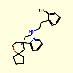 Cc1ccccc1CCNCC[C@@]1(c2ccccn2)CCOC2(CCCC2)C1